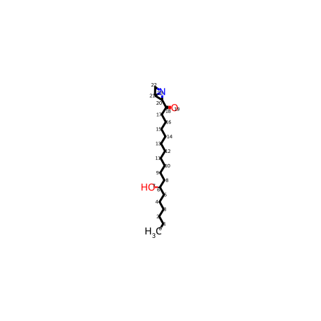 CCCCCC[C@@H](O)CCCCCCCCCCC(=O)C1C2CN21